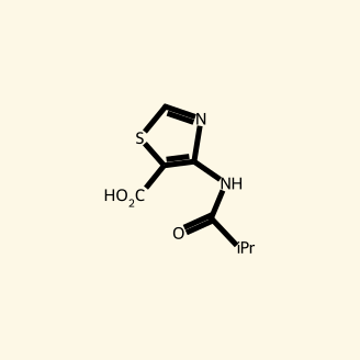 CC(C)C(=O)Nc1ncsc1C(=O)O